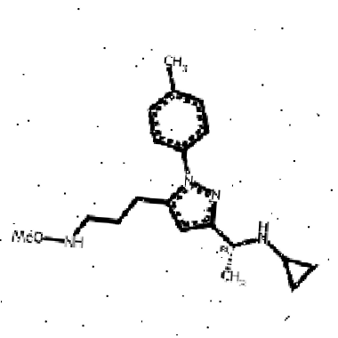 CONCCCc1cc([C@@H](C)NC2CC2)nn1-c1ccc(C)cc1